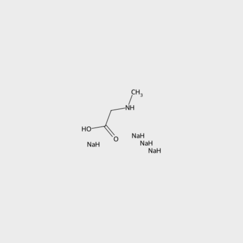 CNCC(=O)O.[NaH].[NaH].[NaH].[NaH]